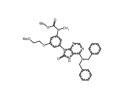 COCCOc1cc(N(C)C(=O)OC(C)(C)C)cc(-n2c(=O)[nH]c3c(N(Cc4ccccc4)Cc4ccccc4)ncnc32)c1